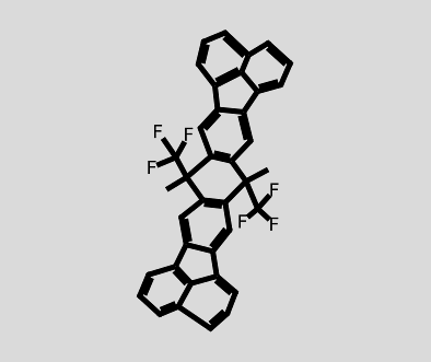 CC1(C(F)(F)F)c2cc3c(cc2C(C)(C(F)(F)F)c2cc4c(cc21)-c1cccc2cccc-4c12)-c1cccc2cccc-3c12